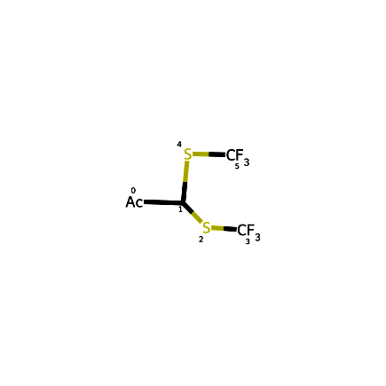 CC(=O)C(SC(F)(F)F)SC(F)(F)F